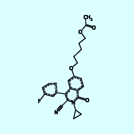 CC(=O)OCCCCCOc1ccc2c(=O)n(C3CC3)c(C#N)c(-c3cccc(F)c3)c2c1